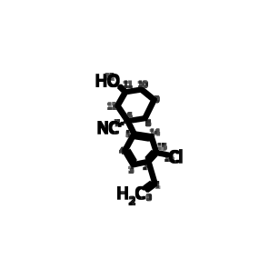 C=Cc1ccc([C@]2(C#N)CCCC(O)C2)cc1Cl